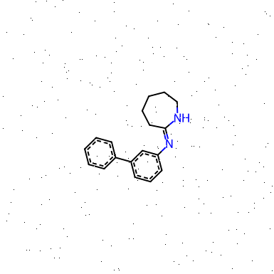 c1ccc(-c2cccc(N=C3CCCCCN3)c2)cc1